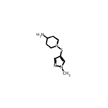 Cn1cc(SN2CCC(N)CC2)cn1